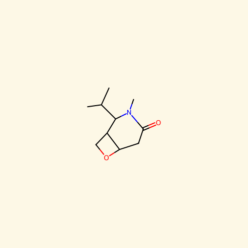 CC(C)C1C2COC2CC(=O)N1C